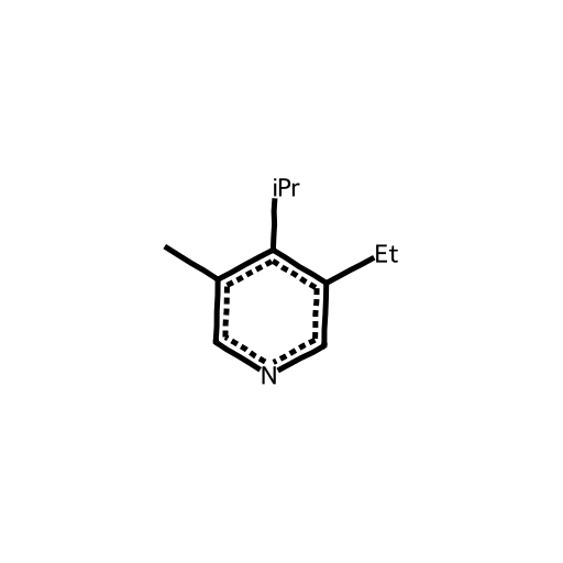 CCc1cncc(C)c1C(C)C